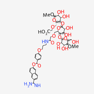 CO[C@@H]1O[C@@H](COCC(=O)O)[C@@H](O[C@@H]2OC(COCC(=O)NCCCOc3ccc(C(=O)Oc4ccc5cc(C(=N)N)ccc5c4)cc3)[C@@H](O[C@@H]3O[C@@H](CO)[C@@H](OC)C(O)C3O)[C@H](O)C2O)C(O)C1O